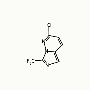 FC(F)(F)c1ncc2ccc(Cl)nn12